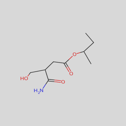 CCC(C)OC(=O)CC(CO)C(N)=O